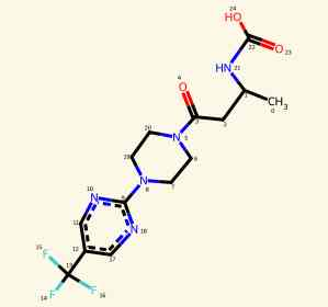 CC(CC(=O)N1CCN(c2ncc(C(F)(F)F)cn2)CC1)NC(=O)O